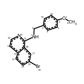 COc1ccc(CNc2nccc3ccc(Br)cc23)cc1